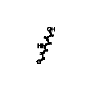 [O]CCCNCCCO